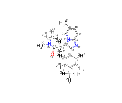 [2H]c1c([2H])c(C([2H])([2H])[2H])c([2H])c([2H])c1-c1nc2ccc(C)cn2c1C([2H])([2H])C(=O)N(C)C([2H])([2H])[2H]